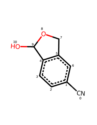 N#Cc1ccc2c(c1)COC2O